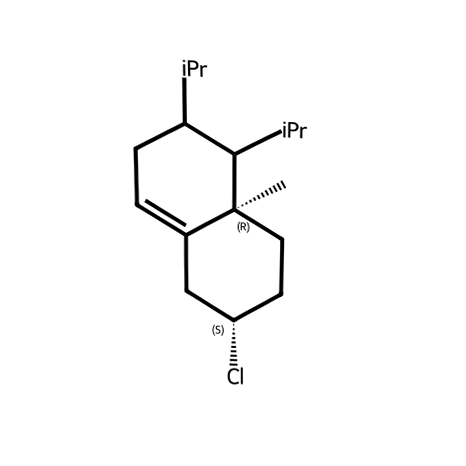 CC(C)C1CC=C2C[C@@H](Cl)CC[C@]2(C)C1C(C)C